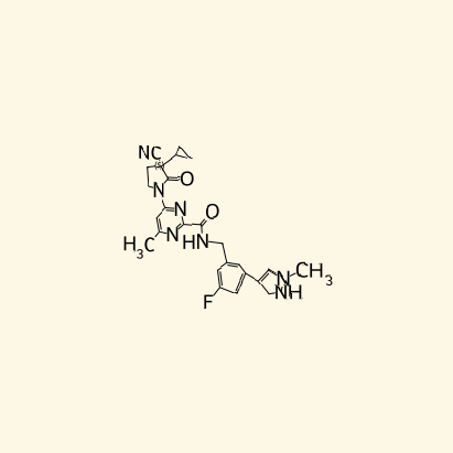 Cc1cc(N2CC[C@@](C#N)(C3CC3)C2=O)nc(C(=O)NCc2cc(F)cc(C3=CN(C)NC3)c2)n1